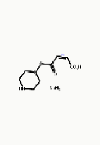 O=C(O)/C=C\C(=O)ON1CCNCC1.[CaH2]